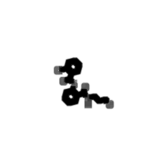 O=CCCNC(=O)c1ccccc1SC(=O)c1ccccc1Cl